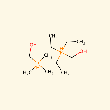 CC[PH](CC)(CC)CO.C[PH](C)(C)CO